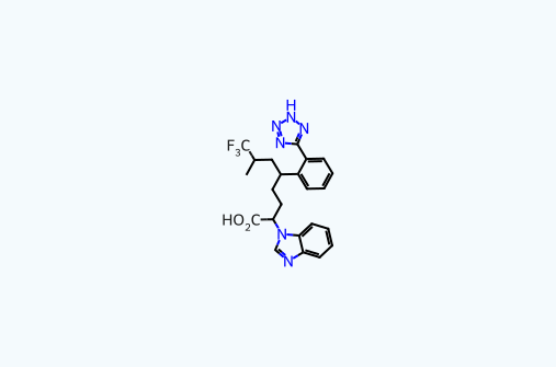 CC(CC(CCC(C(=O)O)n1cnc2ccccc21)c1ccccc1-c1nn[nH]n1)C(F)(F)F